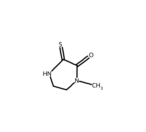 CN1CCNC(=S)C1=O